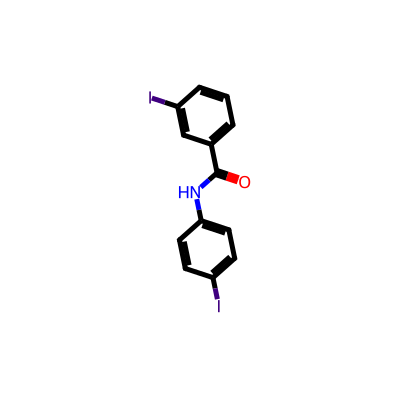 O=C(Nc1ccc(I)cc1)c1cccc(I)c1